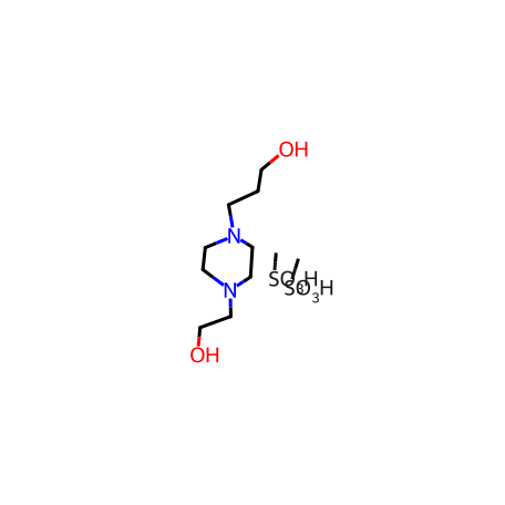 CS(=O)(=O)O.CS(=O)(=O)O.OCCCN1CCN(CCO)CC1